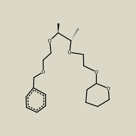 C[C@H](OCCOCc1ccccc1)[C@H](C)OCCOC1CCCCO1